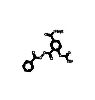 CCCCCCCC(=O)c1ccc(OC(=O)CCCC)c(C(=O)OOC(=O)c2ccccc2)c1